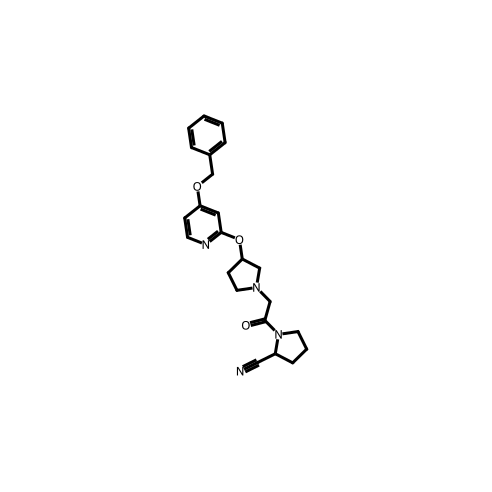 N#CC1CCCN1C(=O)CN1CCC(Oc2cc(OCc3ccccc3)ccn2)C1